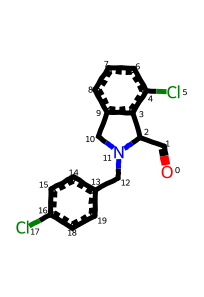 O=CC1c2c(Cl)cccc2CN1Cc1ccc(Cl)cc1